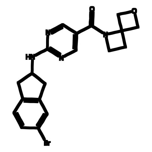 O=C(c1cnc(NC2Cc3ccc(Br)cc3C2)nc1)N1CCC12COC2